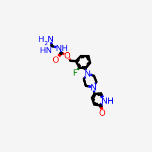 N=C(N)NC(=O)OCc1cccc(N2CCN(c3ccc(=O)[nH]c3)CC2)c1F